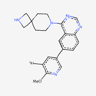 [2H]c1cc(-c2ccc3ncnc(N4CCC5(CC4)CNC5)c3c2)cnc1OC